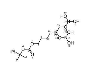 CC(C)C(C)(C)OC(=O)OCCCC[C@H](CON(O)O)ON(O)O